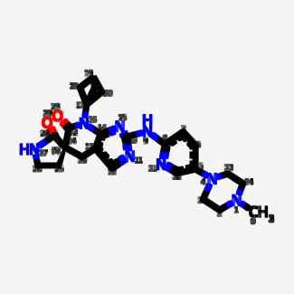 CN1CCN(c2ccc(Nc3ncc4c(n3)N(C35CC(C3)C5)C(=O)[C@]3(CCNC3=O)C4)nc2)CC1